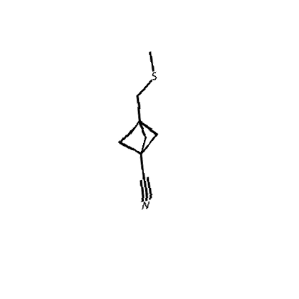 CSCC12CC(C#N)(C1)C2